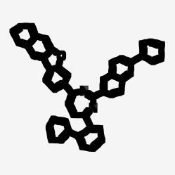 C1=CC(c2ccccc2-c2ccccc2)=NC(c2ccc3cc(-c4ccccc4)ccc3c2)=NC=1c1ccc2c(c1)oc1cc3ccccc3cc12